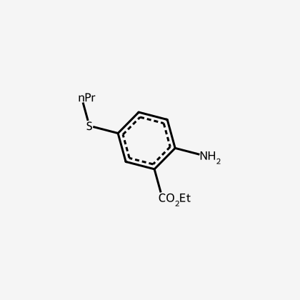 CCCSc1ccc(N)c(C(=O)OCC)c1